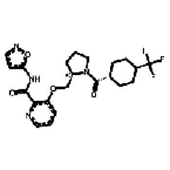 O=C(Nc1ccno1)c1ncccc1OC[C@H]1CCCN1C(=O)[C@H]1CC[C@H](C(F)(F)F)CC1